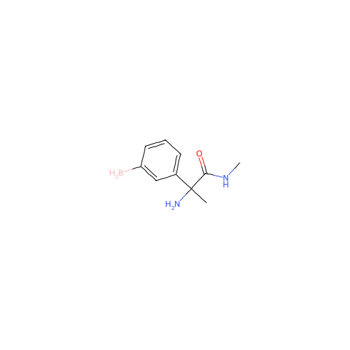 Bc1cccc(C(C)(N)C(=O)NC)c1